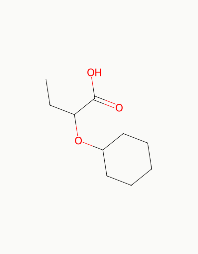 CCC(OC1CCCCC1)C(=O)O